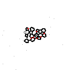 c1ccc(-c2ccc(-c3ccccc3N(c3cccc4c3-c3ccccc3C43c4ccccc4Oc4ccccc43)c3cccc4c3C3(c5ccccc5Sc5ccccc53)c3ccccc3-4)cc2)cc1